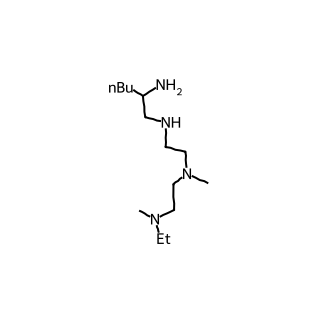 CCCCC(N)CNCCN(C)CCN(C)CC